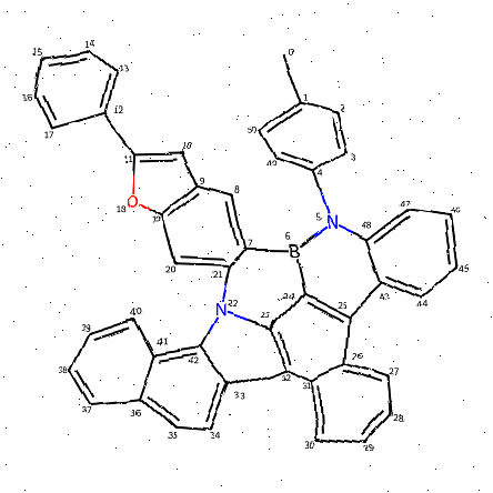 Cc1ccc(N2B3c4cc5cc(-c6ccccc6)oc5cc4-n4c5c3c(c3ccccc3c5c3ccc5ccccc5c34)-c3ccccc32)cc1